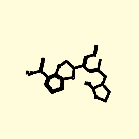 C=N/C=C(\C=C(/C)CN1CCOC1O)C1COc2c(cccc2C(N)=O)O1